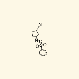 N#CC1CCC(=NOS(=O)(=O)c2ccccc2)C1